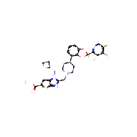 C[C@]1(c2cc(F)c(Cl)cn2)Oc2cccc(C3CCN(Cc4nc5sc(C(=O)O)cc5n4C[C@@H]4CCO4)CC3)c2O1